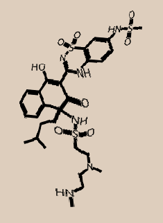 CNCCN(C)CCS(=O)(=O)NC1(CCC(C)C)C(=O)C(C2=NS(=O)(=O)c3cc(NS(C)(=O)=O)ccc3N2)=C(O)c2ccccc21